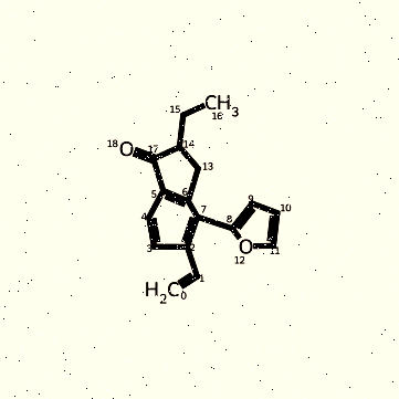 C=Cc1ccc2c(c1-c1ccco1)CC(CC)C2=O